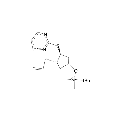 C=CC[C@H]1CC(O[Si](C)(C)C(C)(C)C)C[C@@H]1Sc1ncccn1